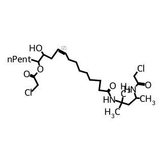 CCCCCC(OC(=O)CCl)C(O)C/C=C\CCCCCCCC(=O)NC(C)(C)CC(C)NC(=O)CCl